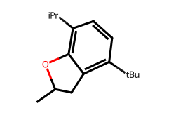 CC1Cc2c(C(C)(C)C)ccc(C(C)C)c2O1